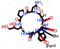 CCCC(C)Oc1ccc2c3c([nH]c2c1)[S+]([O-])C[C@@H]1NC(=O)CNC(=O)C(C(C)CC)NC(=O)CNC(=O)[C@H](C3)NCC(CC(O)CO)NC(=O)C2CCCN2C(=O)C(CC(N)=O)NC1=O